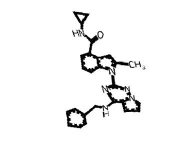 Cc1cc2c(C(=O)NC3CC3)cccc2n1-c1nc(NCc2ccccc2)c2cccn2n1